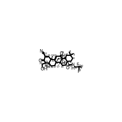 CC1(C)CC[C@]2(C(=O)NCC(F)(F)F)CC[C@]3(C)[C@H](C(=O)C=C4[C@@]5(C)C=C(C#N)C(=O)[C@@](C)(CO)[C@@H]5CC[C@]43C)[C@@H]2C1